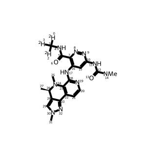 [2H]C([2H])([2H])NC(=O)c1nnc(NC(=O)NC)cc1Nc1nccc2c1N(C)[C@H](C)c1cn(C)nc1-2